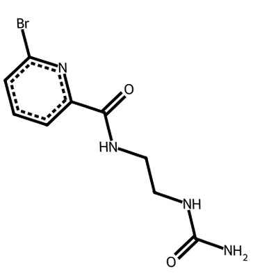 NC(=O)NCCNC(=O)c1cccc(Br)n1